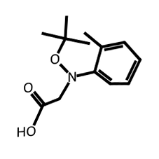 Cc1ccccc1N(CC(=O)O)OC(C)(C)C